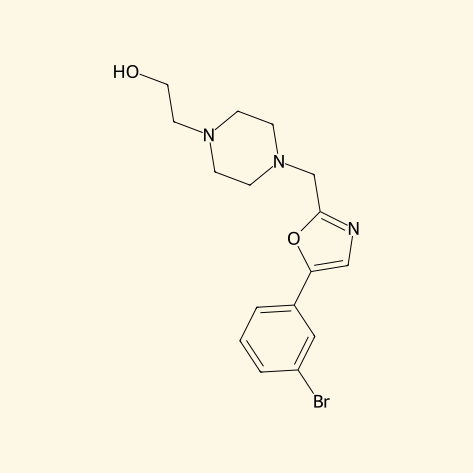 OCCN1CCN(Cc2ncc(-c3cccc(Br)c3)o2)CC1